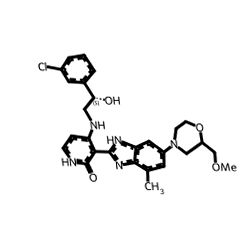 COCC1CN(c2cc(C)c3nc(-c4c(NC[C@@H](O)c5cccc(Cl)c5)cc[nH]c4=O)[nH]c3c2)CCO1